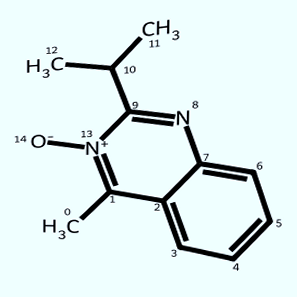 Cc1c2ccccc2nc(C(C)C)[n+]1[O-]